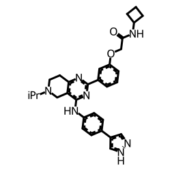 CC(C)N1CCc2nc(-c3cccc(OCC(=O)NC4CCC4)c3)nc(Nc3ccc(-c4cn[nH]c4)cc3)c2C1